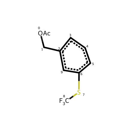 CC(=O)OCc1cccc(SC(F)(F)F)c1